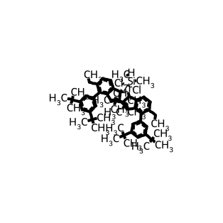 CCc1ccc2c(c1-c1cc(C(C)(C)C)cc(C(C)(C)C)c1)C=C(C(C)(C)C)[CH]2[Zr]([Cl])([Cl])([CH]1C(C(C)(C)C)=Cc2c1ccc(CC)c2-c1cc(C(C)(C)C)cc(C(C)(C)C)c1)[SiH](C)C